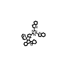 c1ccc2nc(-c3nc(-c4ccc5c(c4)-c4c(c6ccccc6c6oc7ccccc7c46)C54C5CC6CC(C5)CC4C6)nc(-c4ccc5ccccc5n4)n3)ccc2c1